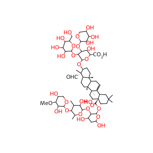 COC1C(O)COC(OC2C(C)OC(OC3C(O)CC(O)OC3OC(=O)[C@]34CCC(C)(C)CC3C3=CCC5[C@@]6(C)CC[C@H](OC7OC(C(=O)O)C(O)C(OC8OCC(O)C(O)C8O)C7OC7OC(CO)C(O)C(O)C7O)[C@@](C)(C=O)C6CC[C@@]5(C)[C@]3(C)C[C@H]4O)C(O)C2C)C1O